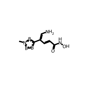 Cn1bbc(C(=C/N)/C=C/C(=O)NO)b1